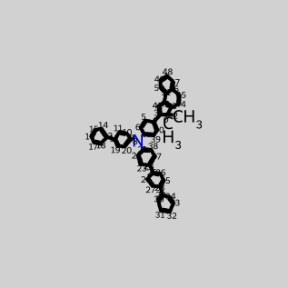 CC1(C)C(c2ccc(N(c3ccc(-c4ccccc4)cc3)c3ccc(-c4ccc(-c5ccccc5)cc4)cc3)cc2)=Cc2c1ccc1ccccc21